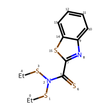 CCSN(SCC)C(=S)c1nc2ccccc2s1